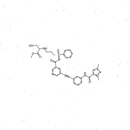 COC(=O)C(CO)NCCC[S@@](=O)(=NC(=O)c1cncc(C#Cc2cccc(NC(=O)c3cc(C)nn3C)c2)c1)c1ccccc1